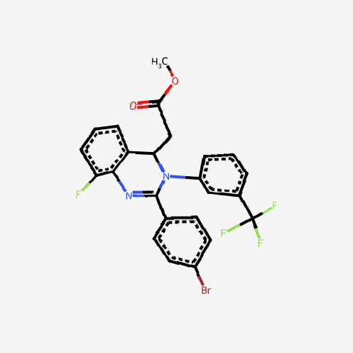 COC(=O)CC1c2cccc(F)c2N=C(c2ccc(Br)cc2)N1c1cccc(C(F)(F)F)c1